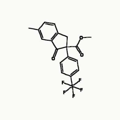 COC(=O)C1(c2ccc(S(F)(F)(F)(F)F)cc2)Cc2ccc(C)cc2C1=O